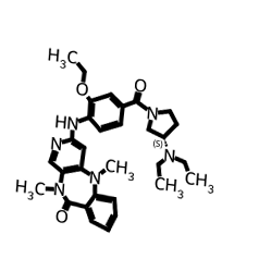 CCOc1cc(C(=O)N2CC[C@H](N(CC)CC)C2)ccc1Nc1cc2c(cn1)N(C)C(=O)c1ccccc1N2C